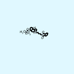 CN(C)C(=O)Oc1cccc2c1CC[C@@H]1[C@H]2CCN1CCCCCN1C(=O)c2ccccc2C1=O